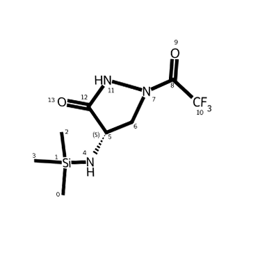 C[Si](C)(C)N[C@H]1CN(C(=O)C(F)(F)F)NC1=O